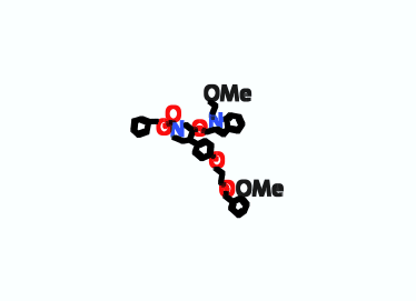 COCCCn1c(COC2CN(C(=O)OCc3ccccc3)CCC2c2ccc(OCCCOCc3ccccc3OC)cc2)cc2ccccc21